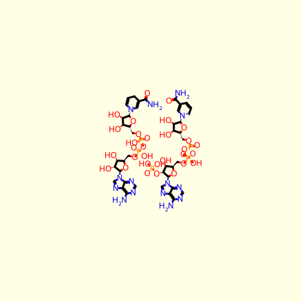 NC(=O)C1=CN([C@@H]2O[C@H](COP(=O)(O)OP(=O)(O)OC[C@H]3O[C@@H](n4cnc5c(N)ncnc54)[C@H](O)[C@@H]3O)[C@@H](O)[C@H]2O)C=CC1.NC(=O)c1ccc[n+]([C@@H]2O[C@H](COP(=O)([O-])OP(=O)(O)OC[C@H]3O[C@@H](n4cnc5c(N)ncnc54)[C@H](OP(=O)(O)O)[C@@H]3O)[C@@H](O)[C@H]2O)c1